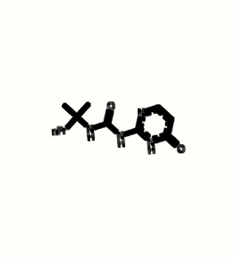 CCCC(C)(C)NC(=O)Nc1nccc(=O)[nH]1